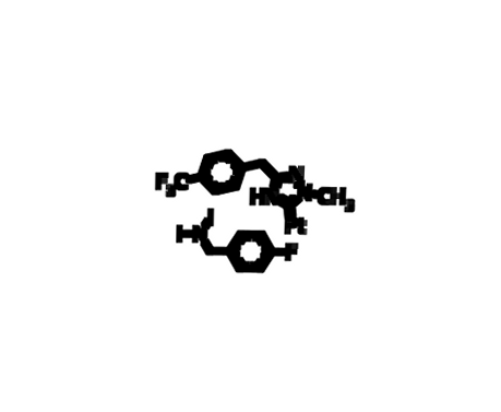 Cn1nc(Cc2ccc(C(F)(F)F)cc2)[nH][c]1=[Pt].Fc1ccc(CN(I)I)cc1